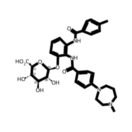 Cc1ccc(C(=O)Nc2cccc(O[C@@H]3O[C@H](C(=O)O)[C@@H](O)[C@H](O)[C@H]3O)c2NC(=O)c2ccc(N3CCCN(C)CC3)cc2)cc1